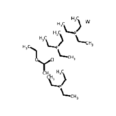 CCOC(C)Cl.CCP(CC)CC.CCP(CC)CC.CCP(CC)CC.[W]